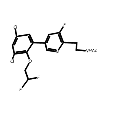 CC(=O)NCCc1ncc(-c2cc(Cl)cc(Cl)c2OCC(F)F)cc1F